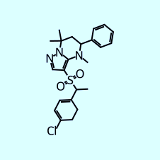 CC(C1=CC=C(Cl)CC1)S(=O)(=O)c1cnn2c1N(C)C(c1ccccc1)CC2(C)C